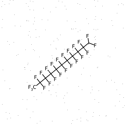 F[C](F)C(F)(F)C(F)(F)C(F)(F)C(F)(F)C(F)(F)C(F)(F)C(F)(F)C(F)(F)C(F)(F)C(F)(F)F